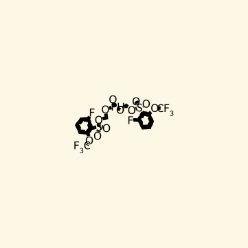 O=[PH](OCOS(=O)(=O)c1c(F)cccc1OC(F)(F)F)OCOS(=O)(=O)c1c(F)cccc1OC(F)(F)F